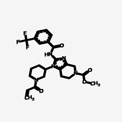 C=CC(=O)N1CCCC(n2c(NC(=O)c3cccc(C(F)(F)F)c3)nc3c2CCN(C(=O)OC)C3)C1